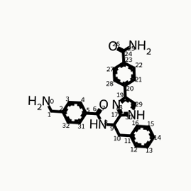 NCc1ccc(C(=O)NC(Cc2ccccc2)c2nc(-c3ccc(C(N)=O)cc3)c[nH]2)cc1